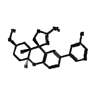 CC(C)O[C@@H]1CC[C@@H]2Oc3ccc(-c4cncc(Cl)c4)cc3[C@]3(COC(N)=N3)[C@H]2C1